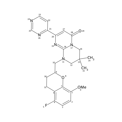 COc1ccc(F)c2c1OC(CN1CC(C)(C)Cn3c1nc(-c1ccncn1)cc3=O)CC2